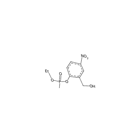 CCOP(C)(=O)Oc1ccc([N+](=O)[O-])cc1CO